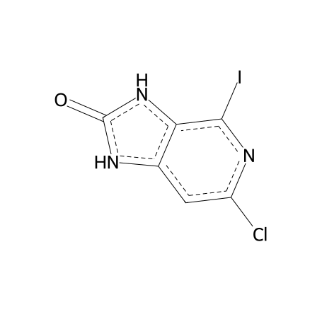 O=c1[nH]c2cc(Cl)nc(I)c2[nH]1